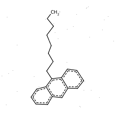 [CH2]CCCCCCCc1c2ccccc2cc2ccccc12